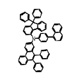 c1ccc(-c2c(-c3ccccc3)c3cc(N(c4ccc(-c5cccc6ccccc56)cc4)c4cccc5c4-c4ccccc4C5(c4ccccc4)c4ccccc4)ccc3c3ccccc23)cc1